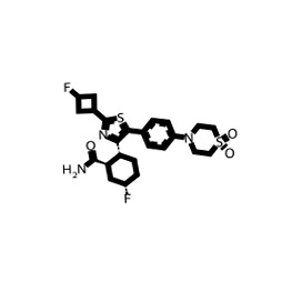 NC(=O)[C@@H]1C[C@@H](F)CC[C@H]1c1nc(C2CC(F)C2)sc1-c1ccc(N2CCS(=O)(=O)CC2)cc1